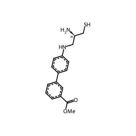 COC(=O)c1cccc(-c2ccc(NC[C@@H](N)CS)cc2)c1